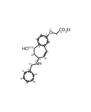 CCOC(=O)COc1ccc2c(c1)C=CC(NCc1ccccc1)CC2.Cl